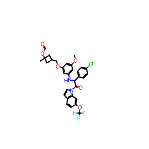 COc1cc(NC(C(=O)n2ccc3ccc(OC(F)(F)F)cc32)c2ccc(Cl)cc2)cc(OCC2CC(C)(OC=O)C2)c1